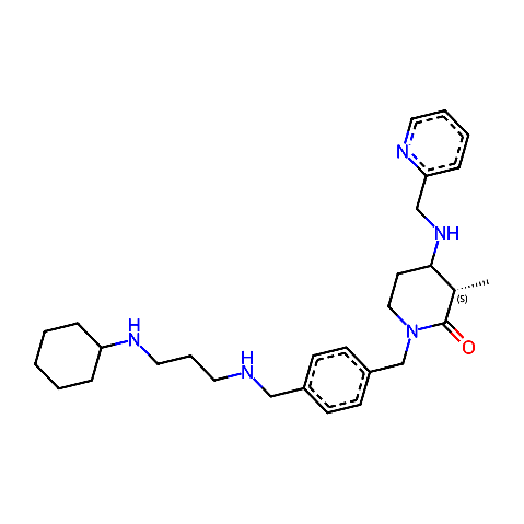 C[C@@H]1C(=O)N(Cc2ccc(CNCCCNC3CCCCC3)cc2)CCC1NCc1ccccn1